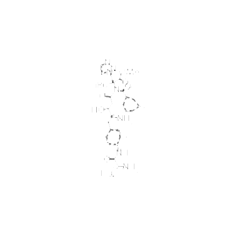 CC[C@H](C)[C@@](C(=O)OC)(N(C(=O)CC(O)[C@@H](N)Cc1ccc(NC(=O)C(C)N)cc1)C(=O)c1ccccc1)n1ccnn1